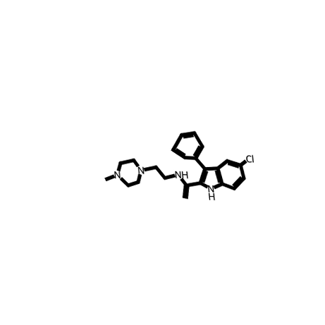 C=C(NCCN1CCN(C)CC1)c1[nH]c2ccc(Cl)cc2c1-c1ccccc1